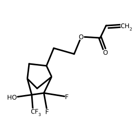 C=CC(=O)OCCC1CC2CC1C(F)(F)C2(O)C(F)(F)F